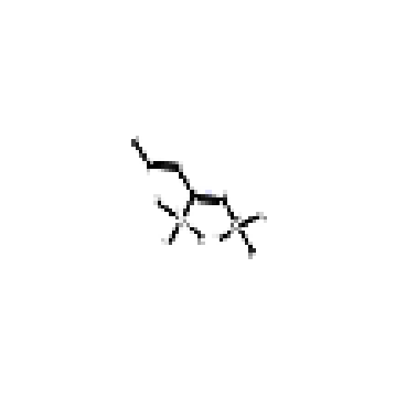 CC=C/C(=[C]/[Si](C)(C)C)[Si](C)(C)C